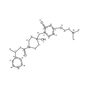 CC(CC(=O)N1CCC(O)(Cn2cnc(OCCN(C)C)cc2=O)CC1)c1ccccc1